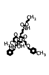 C=CCOC(=O)NCCC[C@H]1C(=O)N(CCOCc2ccc(C)cc2)C[C@@H]2N(C(O)NCc3ccccc3)C(C)CC(=O)N21